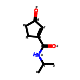 CC(C)NC(=O)C1=CC(=O)CC1